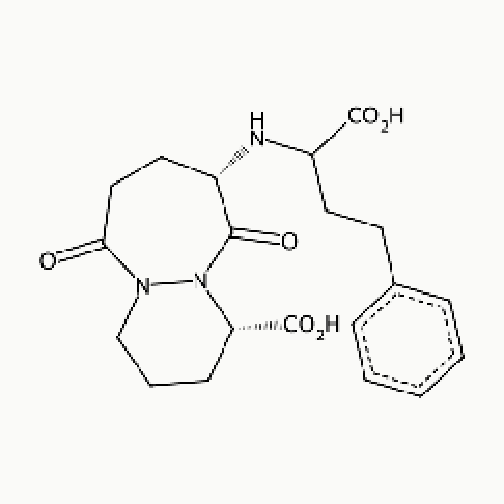 O=C(O)C(CCc1ccccc1)N[C@H]1CCC(=O)N2CCC[C@@H](C(=O)O)N2C1=O